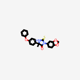 CC1(c2ccc(Oc3ccccc3)cc2)NC(=S)N(c2ccc3c(c2)OCO3)C1=O